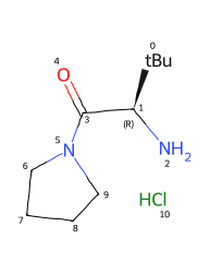 CC(C)(C)[C@@H](N)C(=O)N1CCCC1.Cl